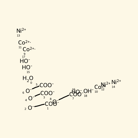 O.O=C([O-])[O-].O=C([O-])[O-].O=C([O-])[O-].O=C([O-])[O-].[Co+2].[Co+2].[Co+2].[Ni+2].[Ni+2].[Ni+2].[OH-].[OH-].[OH-].[OH-]